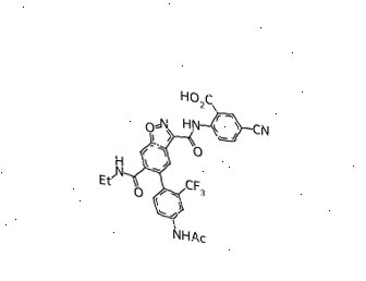 CCNC(=O)c1cc2onc(C(=O)Nc3ccc(C#N)cc3C(=O)O)c2cc1-c1ccc(NC(C)=O)cc1C(F)(F)F